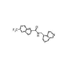 O=C(NCc1cccc2cnccc12)c1ccc2cc(C(F)(F)F)ccc2n1